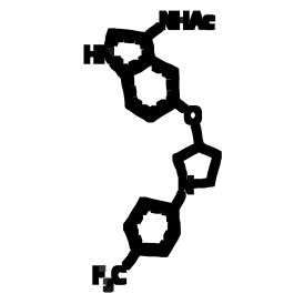 CC(=O)Nc1c[nH]c2ccc(OC3CCN(c4ccc(C(F)(F)F)cc4)C3)cc12